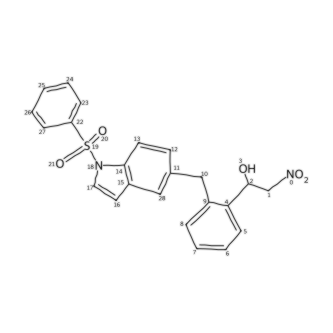 O=[N+]([O-])CC(O)c1ccccc1Cc1ccc2c(ccn2S(=O)(=O)c2ccccc2)c1